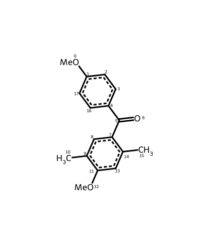 COc1ccc(C(=O)c2cc(C)c(OC)cc2C)cc1